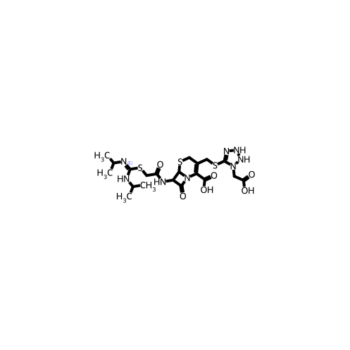 CC(C)/N=C(\NC(C)C)SCC(=O)NC1C(=O)N2C(C(=O)O)=C(CSC3=NNNN3CC(=O)O)CSC12